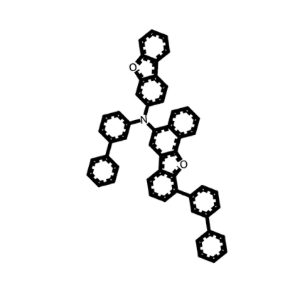 c1ccc(-c2cccc(-c3cccc4c3oc3c5ccccc5c(N(c5cccc(-c6ccccc6)c5)c5ccc6c(c5)oc5ccccc56)cc43)c2)cc1